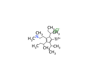 CCC(C)C1=[C]([Ti+2])C(C(C)CC)C(CCN(C)C)=C1C(C)CC.[Cl-].[Cl-]